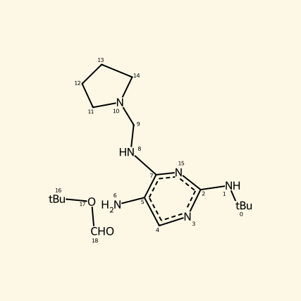 CC(C)(C)Nc1ncc(N)c(NCN2CCCC2)n1.CC(C)(C)OC=O